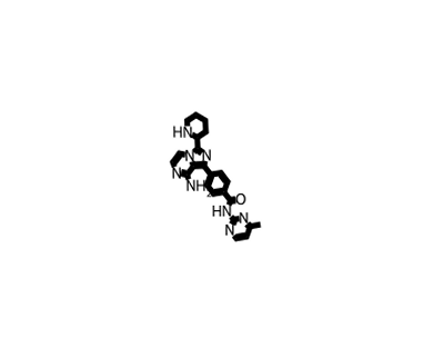 Cc1ccnc(NC(=O)c2ccc(-c3nc(C4CCCCN4)n4ccnc(N)c34)cc2)n1